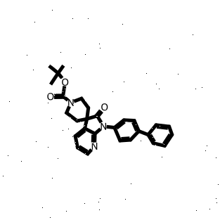 CC(C)(C)OC(=O)N1CCC2(CC1)C(=O)N(c1ccc(-c3ccccc3)cc1)c1ncccc12